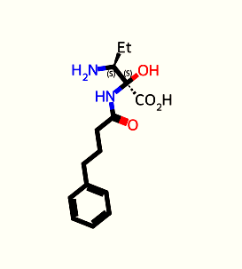 CC[C@H](N)[C@@](O)(NC(=O)CCCc1ccccc1)C(=O)O